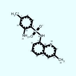 Cc1ccc(S(=O)(=O)Nc2cccc3cc(C)cnc23)c(N)c1